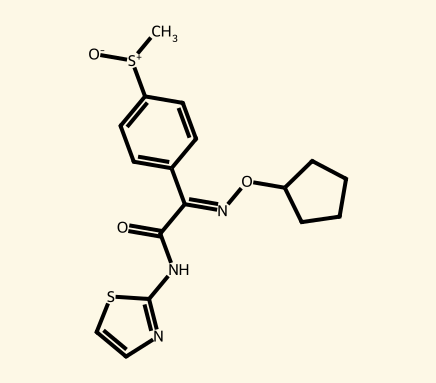 C[S+]([O-])c1ccc(/C(=N\OC2CCCC2)C(=O)Nc2nccs2)cc1